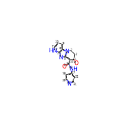 O=C1CCn2c(nc3c2=CC=CN3)=C1C(=O)Nc1ccncc1